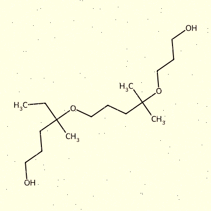 CCC(C)(CCCO)OCCCC(C)(C)OCCCO